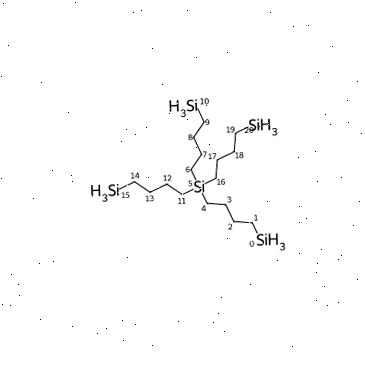 [SiH3]CCCC[Si](CCCC[SiH3])(CCCC[SiH3])CCCC[SiH3]